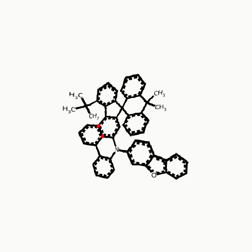 CC(C)(C)c1cccc2c1-c1ccc(N(c3ccc4c(c3)oc3ccccc34)c3ccccc3-c3ccccc3)cc1C21c2ccccc2C(C)(C)c2ccccc21